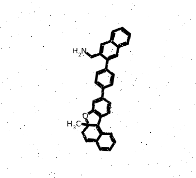 CC12CC=c3ccccc3=C1c1ccc(-c3ccc(-c4cc5ccccc5cc4CN)cc3)cc1O2